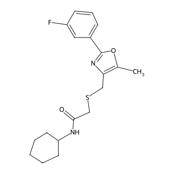 Cc1oc(-c2cccc(F)c2)nc1CSCC(=O)NC1CCCCC1